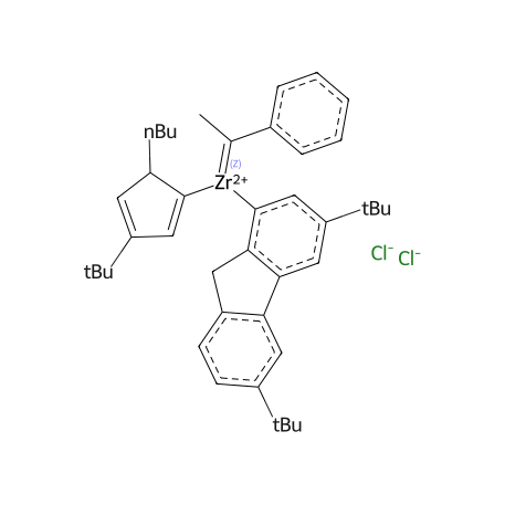 CCCCC1C=C(C(C)(C)C)C=[C]1/[Zr+2](=[C](\C)c1ccccc1)[c]1cc(C(C)(C)C)cc2c1Cc1ccc(C(C)(C)C)cc1-2.[Cl-].[Cl-]